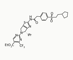 CCOC(=O)c1cnc(N2Cc3sc(NC(=O)Cc4ccc(S(=O)(=O)CCC5CCCC5)cc4)nc3[C@@H]2C(C)C)nc1C(F)(F)F